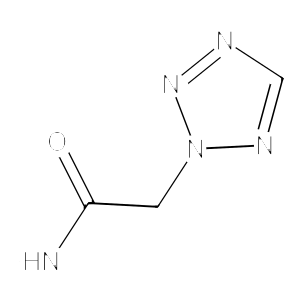 [NH]C(=O)Cn1ncnn1